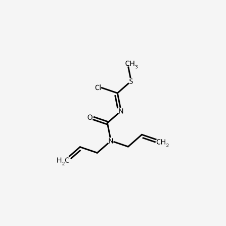 C=CCN(CC=C)C(=O)N=C(Cl)SC